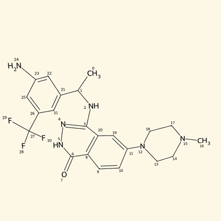 CC(Nc1n[nH]c(=O)c2ccc(N3CCN(C)CC3)cc12)c1cc(N)cc(C(F)(F)F)c1